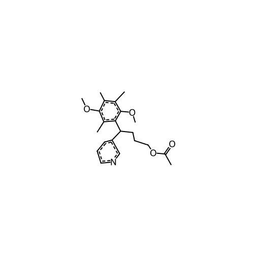 COc1c(C)c(C)c(OC)c(C(CCCOC(C)=O)c2cccnc2)c1C